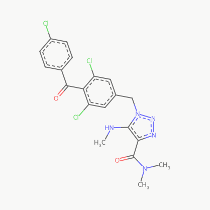 CNc1c(C(=O)N(C)C)nnn1Cc1cc(Cl)c(C(=O)c2ccc(Cl)cc2)c(Cl)c1